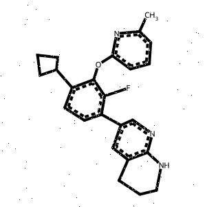 Cc1cccc(Oc2c(C3CCC3)ccc(-c3cnc4c(c3)CCCN4)c2F)n1